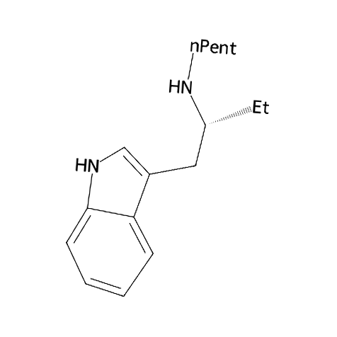 CCCCCN[C@H](CC)Cc1c[nH]c2ccccc12